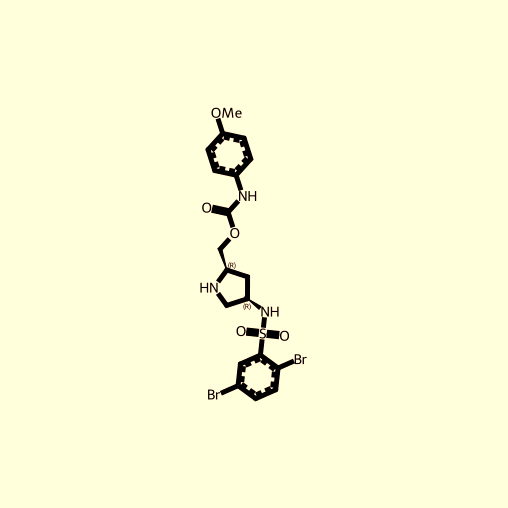 COc1ccc(NC(=O)OC[C@H]2C[C@@H](NS(=O)(=O)c3cc(Br)ccc3Br)CN2)cc1